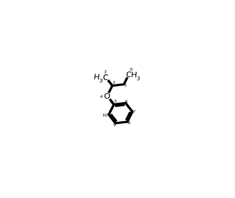 CC[C](C)Oc1ccccc1